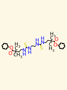 CC(C)(CCNC(=S)NCCNC(=S)NCCC(C)(C)C(=O)Oc1ccccc1)C(=O)Oc1ccccc1